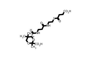 CC1(C(=O)O)OCC(C)(C)[C@H](C(=O)NCCC(=O)NCCSC(=O)CCC(=O)O)O1